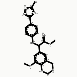 COc1cc(C(Nc2ccc(-c3noc(C)n3)cc2)C(=N)SC)cc2c1OCOC2